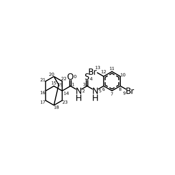 O=C(NC(=S)Nc1cc(Br)ccc1Br)C12CC3CC(CC(C3)C1)C2